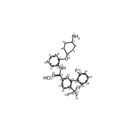 Cl.NC1CCC(Oc2ncncc2NC(=O)c2ccc(C(F)(F)F)c(-c3c(F)cccc3F)n2)CC1